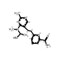 CCCCC(C)N(C)c1nc(C)ncc1CCc1cccc(C(N)=O)n1